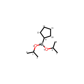 CC(C)OB(OC(C)C)C1CCCC1